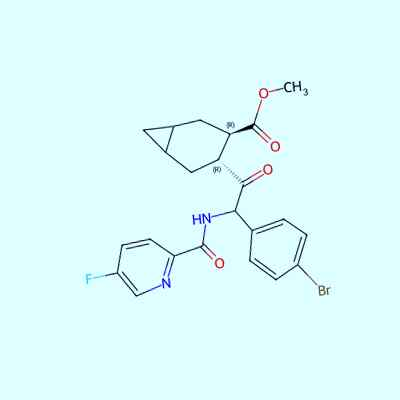 COC(=O)[C@@H]1CC2CC2C[C@H]1C(=O)C(NC(=O)c1ccc(F)cn1)c1ccc(Br)cc1